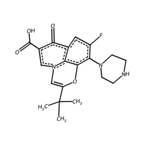 CC(C)(C)C1=Cn2cc(C(=O)O)c(=O)c3cc(F)c(N4CCNCC4)c(c32)O1